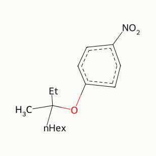 CCCCCCC(C)(CC)Oc1ccc([N+](=O)[O-])cc1